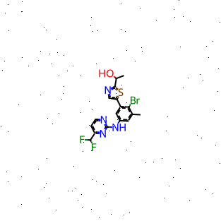 Cc1cc(Nc2nccc(C(F)F)n2)cc(-c2cnc(C(C)O)s2)c1Br